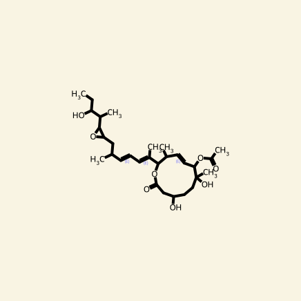 CCC(O)C(C)C1OC1CC(C)/C=C/C=C(\C)C1OC(=O)CC(O)CCC(C)(O)C(OC(C)=O)/C=C/C1C